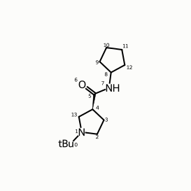 CC(C)(C)N1CC[C@H](C(=O)NC2CCCC2)C1